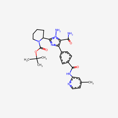 Cc1ccnc(NC(=O)c2ccc(-c3nc(C4CCCCN4C(=O)OC(C)(C)C)n(N)c3C(N)=O)cc2)c1